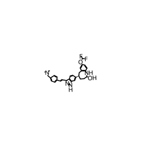 CN(C)Cc1ccc(/C=C/c2n[nH]c3cc([C@@H]4CCC(O)Nc5ccc(OC(F)F)cc5C4)ccc23)cc1